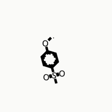 [CH2]Oc1ccc(S(C)(=O)=O)cc1